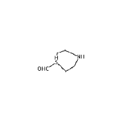 O=C[SH]1CCNCC1